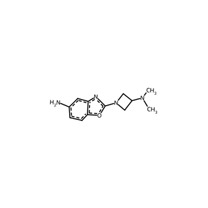 CN(C)C1CN(c2nc3cc(N)ccc3o2)C1